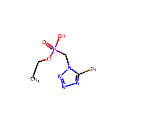 CCOP(=O)(O)Cn1nnnc1S